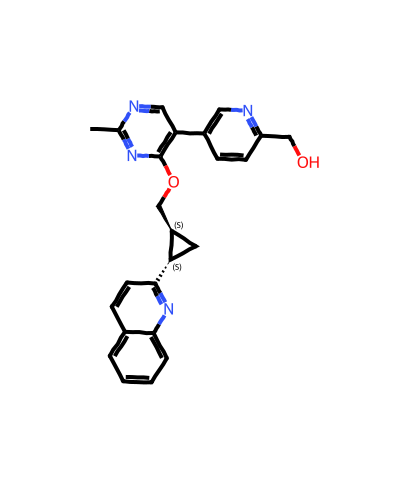 Cc1ncc(-c2ccc(CO)nc2)c(OC[C@H]2C[C@@H]2c2ccc3ccccc3n2)n1